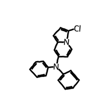 Clc1ccc2cc(N(c3ccccc3)c3ccccc3)ccn12